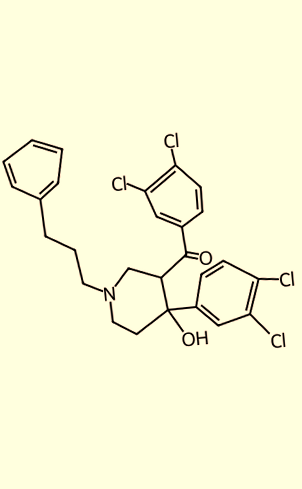 O=C(c1ccc(Cl)c(Cl)c1)C1CN(CCCc2ccccc2)CCC1(O)c1ccc(Cl)c(Cl)c1